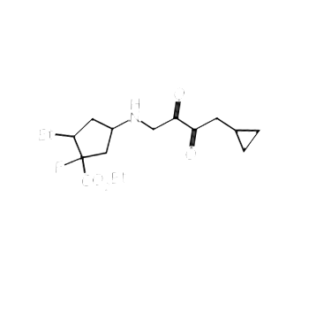 CCOC(=O)C1(F)CC(NCC(=O)C(=O)CC2CC2)CC1CC